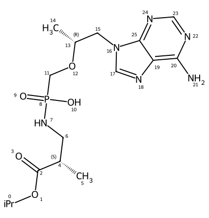 CC(C)OC(=O)[C@@H](C)CNP(=O)(O)CO[C@H](C)Cn1cnc2c(N)ncnc21